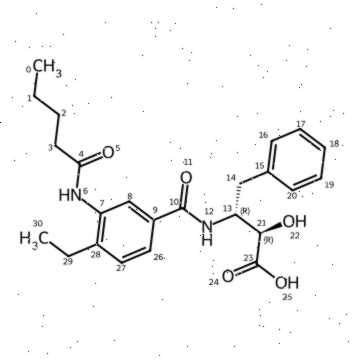 CCCCC(=O)Nc1cc(C(=O)N[C@H](Cc2ccccc2)[C@@H](O)C(=O)O)ccc1CC